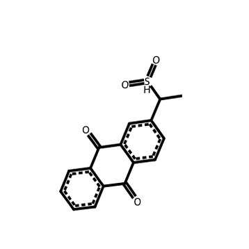 CC(c1ccc2c(c1)C(=O)c1ccccc1C2=O)[SH](=O)=O